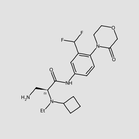 CCN(C1CCC1)[C@@H](CN)C(=O)Nc1ccc(N2CCOCC2=O)c(C(F)F)c1